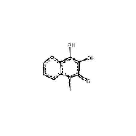 Cn1c(=O)c(O)c(O)c2ccccc21